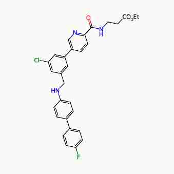 CCOC(=O)CCNC(=O)c1ccc(-c2cc(Cl)cc(CNc3ccc(-c4ccc(F)cc4)cc3)c2)cn1